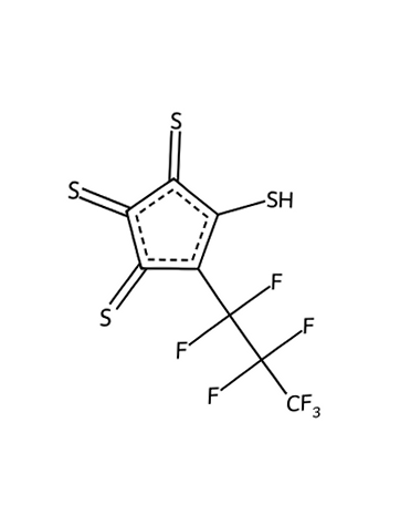 FC(F)(F)C(F)(F)C(F)(F)c1c(S)c(=S)c(=S)c1=S